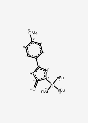 CCC[CH2][Sn]([CH2]CCC)([CH2]CCC)[n]1nc(-c2ccc(OC)cc2)oc1=O